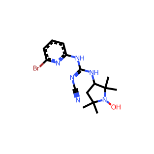 CC1(C)CC(NC(=NC#N)Nc2cccc(Br)n2)C(C)(C)N1O